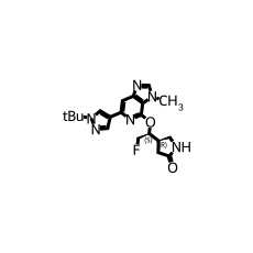 Cn1cnc2cc(-c3cnn(C(C)(C)C)c3)nc(O[C@H](CF)[C@H]3CNC(=O)C3)c21